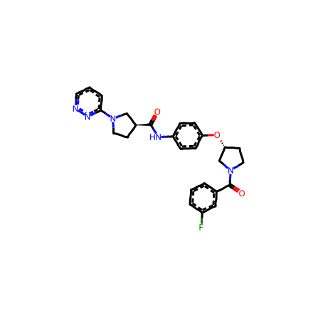 O=C(Nc1ccc(O[C@@H]2CCN(C(=O)c3cccc(F)c3)C2)cc1)[C@H]1CCN(c2cccnn2)C1